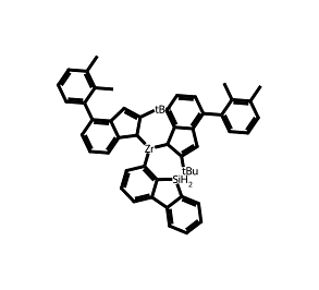 Cc1cccc(-c2cccc3c2C=C(C(C)(C)C)[CH]3[Zr]([c]2cccc3c2[SiH2]c2ccccc2-3)[CH]2C(C(C)(C)C)=Cc3c(-c4cccc(C)c4C)cccc32)c1C